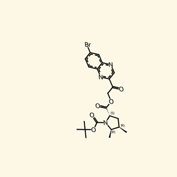 C[C@@H]1C[C@@H](C(=O)OCC(=O)c2cnc3cc(Br)ccc3n2)N(C(=O)OC(C)(C)C)[C@@H]1C